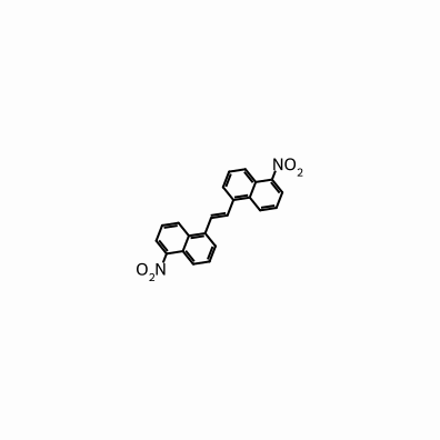 O=[N+]([O-])c1cccc2c(C=Cc3cccc4c([N+](=O)[O-])cccc34)cccc12